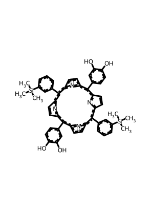 C[Si](C)(C)c1cccc(-c2c3nc(c(-c4ccc(O)c(O)c4)c4ccc([nH]4)c(-c4cccc([Si](C)(C)C)c4)c4nc(c(-c5ccc(O)c(O)c5)c5ccc2[nH]5)C=C4)C=C3)c1